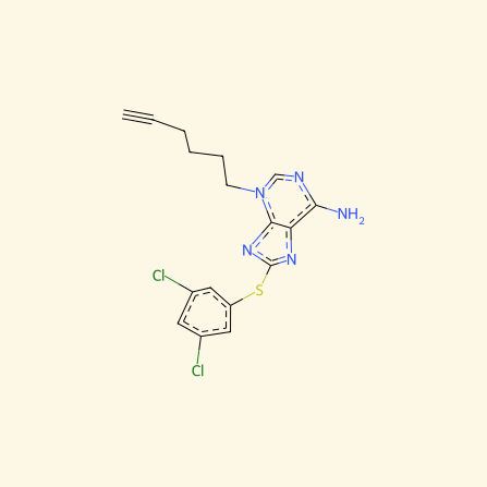 C#CCCCCn1cnc(N)c2nc(Sc3cc(Cl)cc(Cl)c3)nc1-2